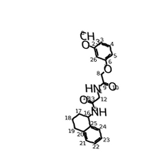 COc1cccc(OCC(=O)NCC(=O)NC2CCCc3ccccc32)c1